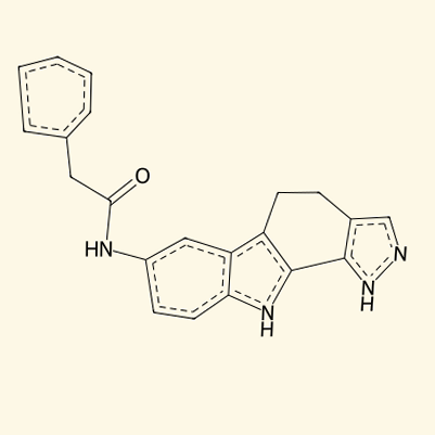 O=C(Cc1ccccc1)Nc1ccc2[nH]c3c(c2c1)CCc1cn[nH]c1-3